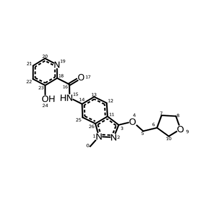 Cn1nc(OCC2CCOC2)c2ccc(NC(=O)c3ncccc3O)cc21